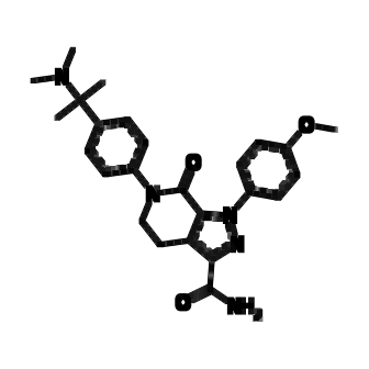 COc1ccc(-n2nc(C(N)=O)c3c2C(=O)N(c2ccc(C(C)(C)N(C)C)cc2)CC3)cc1